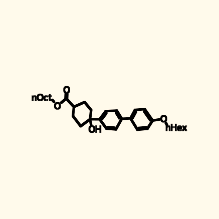 CCCCCCCCOC(=O)C1CCC(O)(c2ccc(-c3ccc(OCCCCCC)cc3)cc2)CC1